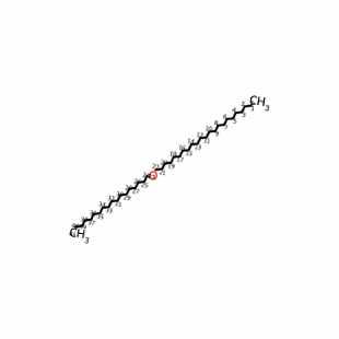 CCCCCCCCCCCCCCCCCCCCCCCOCCCCCCCCCCCCCCCCCC